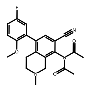 COc1ccc(F)cc1-c1cc(C#N)c(N(C(C)=O)C(C)=O)c2c1CCN(C)C2